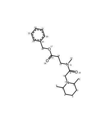 CC1CCCC(C)N1CC(=O)N(C)CCC(=O)OCc1ccccc1